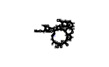 COCc1nc(C[C@]2(OC)/C=C/C[C@H](C)[C@@H](C)S(=O)(=O)NC(=O)c3ccc4c(c3)N(C[C@@H]3CC[C@H]32)C[C@@]2(CCCC3=CC(Cl)=CCC32C)CO4)oc1C